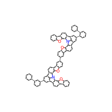 c1ccc(-c2cccc(-c3cc4c5ccc6c7ccccc7oc6c5n5c4c(c3)c3ccc4c6cc(-c7ccc8oc9c(ccc%10c%11cc(-c%12ccccc%12-c%12ccccc%12)cc%12c%13ccc%14c%15ccccc%15oc%14c%13n(c%12%11)c%109)c8c7)ccc6oc4c35)c2)cc1